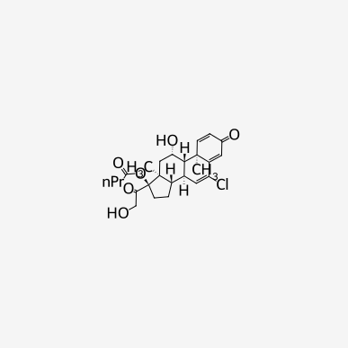 CCCC(=O)O[C@]1(C(=O)CO)CC[C@H]2[C@@H]3C=C(Cl)C4=CC(=O)C=C[C@]4(C)[C@H]3[C@@H](O)C[C@@]21C